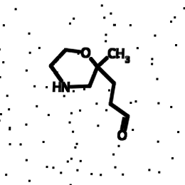 CC1(CCC=O)CNCCO1